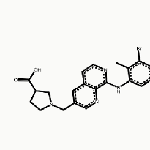 Cc1c(Br)cccc1Nc1nccc2cc(CN3CCC(C(=O)O)C3)cnc12